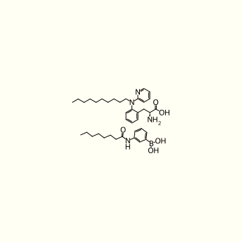 CCCCCCCC(=O)Nc1cccc(B(O)O)c1.CCCCCCCCCCN(c1ccccn1)c1ccccc1C[C@H](N)C(=O)O